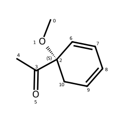 CO[C@]1(C(C)=O)C=CC=CC1